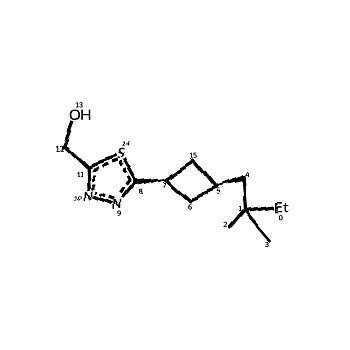 CCC(C)(C)C[C@H]1C[C@@H](c2nnc(CO)s2)C1